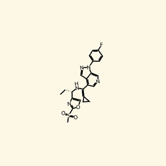 CC[C@H](NC(=C1CC1)c1cncc2c1cnn2-c1ccc(F)cc1)c1coc(S(C)(=O)=O)n1